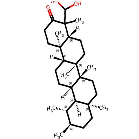 C[C@@H]1[C@H]2[C@H]3CC[C@@H]4[C@@]5(C)CCC(=O)C(C)(C(O)O)[C@@H]5CC[C@@]4(C)[C@]3(C)CC[C@@]2(C)CC[C@H]1C